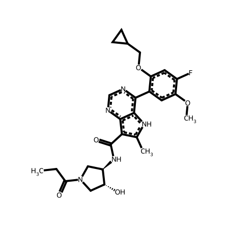 CCC(=O)N1C[C@@H](O)[C@H](NC(=O)c2c(C)[nH]c3c(-c4cc(OC)c(F)cc4OCC4CC4)ncnc23)C1